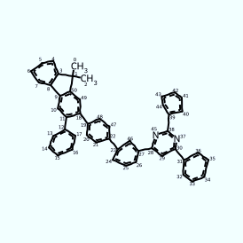 CC1(C)c2ccccc2-c2cc(-c3ccccc3)c(-c3ccc(-c4cccc(-c5cc(-c6ccccc6)nc(-c6ccccc6)n5)c4)cc3)cc21